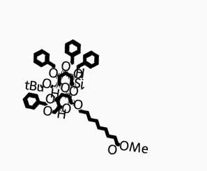 COC(=O)CCCCCCCCO[C@H]1O[C@@H]2COC(c3ccccc3)O[C@H]2C[C@H]1O[C@]1([SiH](C)C)O[C@H](COC(C)(C)C)[C@@H](OCc2ccccc2)[C@H](OCc2ccccc2)[C@H]1OCc1ccccc1